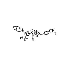 Cc1cc(C(=O)Nc2ncc(Cc3ccc(C(F)(F)F)cc3)s2)nn1CCN1CCOCC1